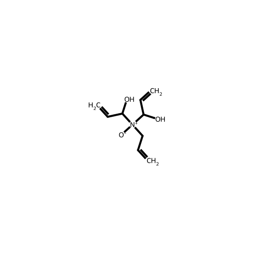 C=CC[N+]([O-])(C(O)C=C)C(O)C=C